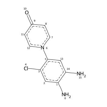 Nc1cc(Cl)c(-n2ccc(=O)cc2)cc1N